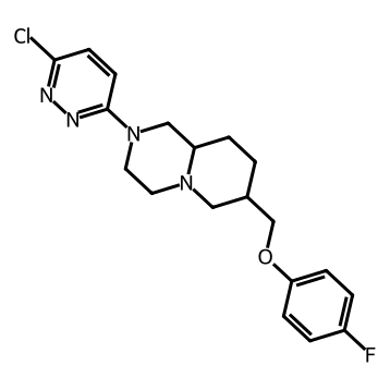 Fc1ccc(OCC2CCC3CN(c4ccc(Cl)nn4)CCN3C2)cc1